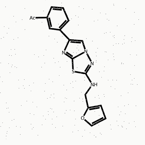 CC(=O)c1cccc(-c2cn3nc(NCc4ccco4)sc3n2)c1